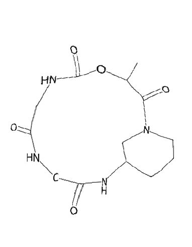 CC1OC(=O)NCC(=O)NCC(=O)NC2CCCN(C2)C1=O